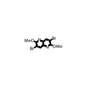 COc1nc2cc(Br)c(OC)nc2cc1Br